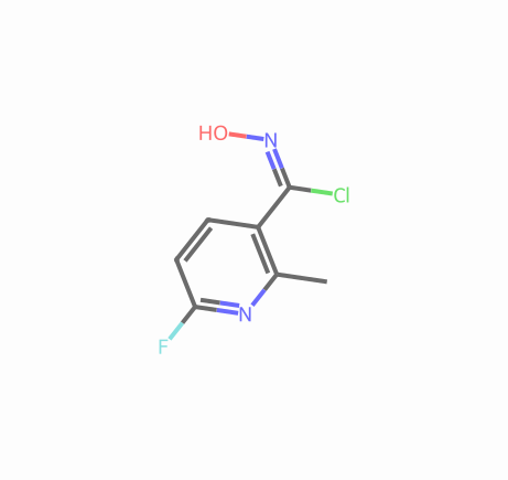 Cc1nc(F)ccc1/C(Cl)=N\O